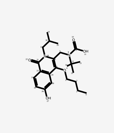 CCCCOc1c(CN(C(=O)O)C(C)(C)C)n(CC(C)C)c(=O)c2ccc(O)cc12